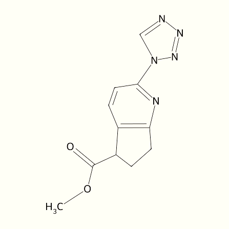 COC(=O)C1CCc2nc(-n3cnnn3)ccc21